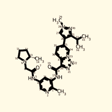 Cc1ncc(NC(=O)CN2CCC[C@@H]2C)cc1NC(=O)c1nnn2cc(-c3cn(C)nc3C(C)C)ccc12